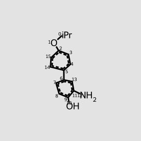 CC(C)Oc1ccc(-c2ccc(O)c(N)c2)cc1